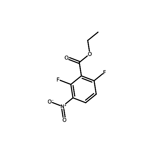 CCOC(=O)c1c(F)ccc([N+](=O)[O-])c1F